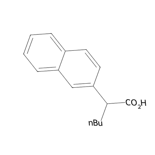 CCCCC(C(=O)O)c1ccc2ccccc2c1